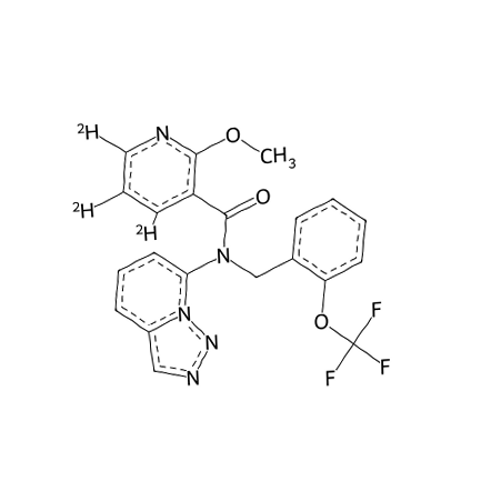 [2H]c1nc(OC)c(C(=O)N(Cc2ccccc2OC(F)(F)F)c2cccc3cnnn23)c([2H])c1[2H]